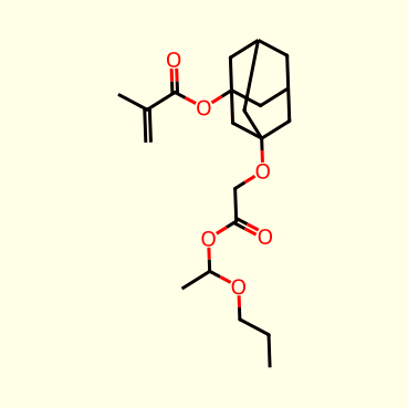 C=C(C)C(=O)OC12CC3CC(CC(OCC(=O)OC(C)OCCC)(C3)C1)C2